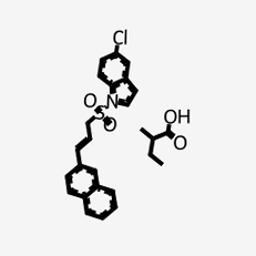 CCC(C)C(=O)O.O=S(=O)(CC=Cc1ccc2ccccc2c1)n1ccc2cc(Cl)ccc21